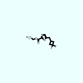 CCOC(=O)c1nc(CC2CC(F)(F)C2)cs1